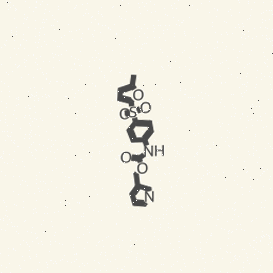 Cc1ccc(S(=O)(=O)c2ccc(NC(=O)OCc3cccnc3)cc2)o1